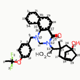 CC(F)(F)Oc1ccc(CN2CN([C@H](C(=O)O)C3(C)CC4=CCC(O)(C4)C3)C(=O)c3ccc4ccccc4c32)cc1